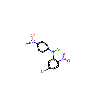 O=[N+]([O-])c1ccc(N(Br)c2cc(Cl)ccc2[N+](=O)[O-])cc1